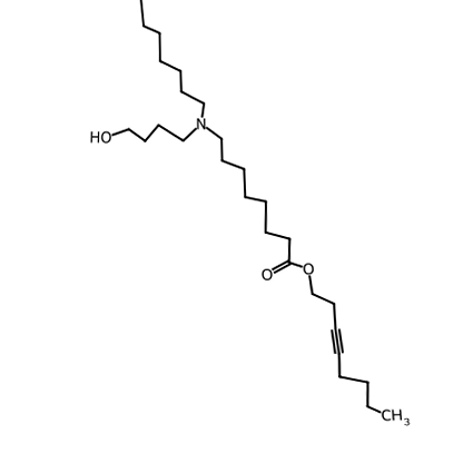 CCCCC#CCCOC(=O)CCCCCCCN(CCCCO)CCCCCCCC